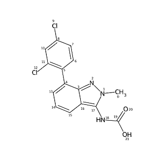 Cn1nc2c(-c3ccc(Cl)cc3Cl)cccc2c1NC(=O)O